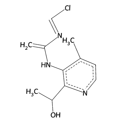 C=C(/N=C/Cl)Nc1c(C)ccnc1C(C)O